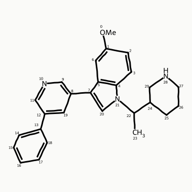 COc1ccc2c(c1)c(-c1cncc(-c3ccccc3)c1)cn2C(C)C1CCCNC1